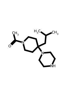 CC(=O)N1CCC(CC(C)C)(N2CCNCC2)CC1